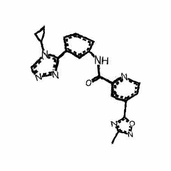 Cc1noc(-c2ccnc(C(=O)Nc3cccc(-c4nncn4C4CC4)c3)c2)n1